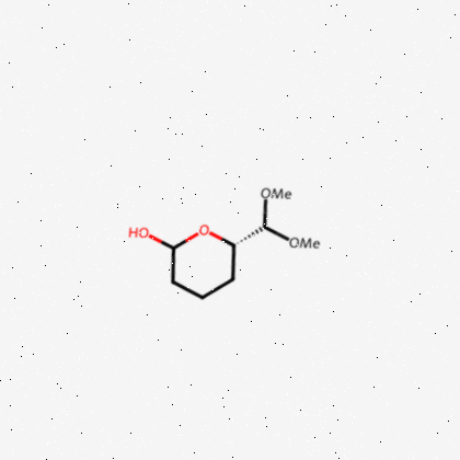 COC(OC)[C@@H]1CCCC(O)O1